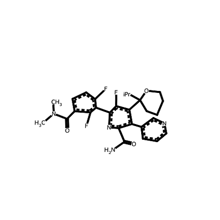 CC(C)C1(c2c(F)c(-c3c(F)ccc(C(=O)N(C)C)c3F)nc(C(N)=O)c2-c2cccnc2)CCCCO1